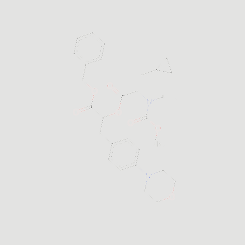 CN(C(=O)OC(C)(C)C)[C@@H](CC1CC1)C(=O)OC(Cc1ccc(N2CCOCC2)cc1)C(=O)OCc1ccccc1